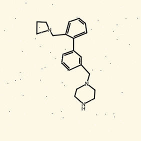 [c]1ccc(-c2ccccc2CN2CCC2)cc1CN1CCNCC1